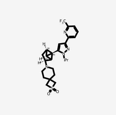 CC(C)n1nc(-c2cccc(C(F)(F)F)n2)cc1[C@]12C3[C@@H](N4CCC5(CC4)CS(=O)(=O)C5)C[C@@H]1[C@H]32